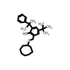 CC(C)(C)c1cc(CSC2CCCCCCC2)c(O)c(C(C)(C)c2ccccc2)c1